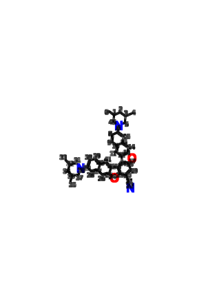 CC1CC(C)CN(c2ccc3cc4c(cc3c2)oc2cc(C#N)c3oc5cc6cc(N7CC(C)CC(C)C7)ccc6cc5c3c24)C1